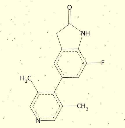 Cc1cncc(C)c1-c1cc(F)c2c(c1)CC(=O)N2